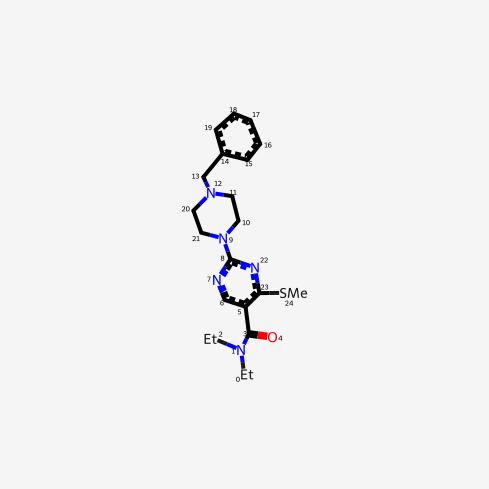 CCN(CC)C(=O)c1cnc(N2CCN(Cc3ccccc3)CC2)nc1SC